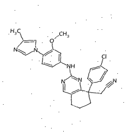 COc1cc(Nc2ncc3c(n2)C(CC#N)(c2ccc(Cl)cc2)CCC3)ccc1-n1cnc(C)c1